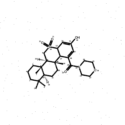 CC1(C)CCC[C@]2(C)[C@H]3CS(=O)(=O)C4C=C(O)C=C(C(=O)N5CCOCC5)C4[C@]3(C)CC[C@@H]12